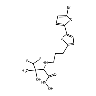 C[C@@](O)(C(F)F)[C@H](NCCCc1ccc(-c2ccc(Br)s2)s1)C(=O)NO